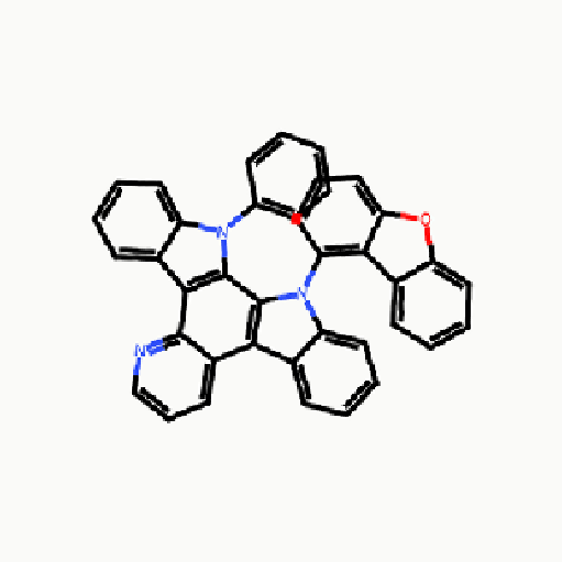 c1ccc(-n2c3ccccc3c3c4ncccc4c4c5ccccc5n(-c5cccc6oc7ccccc7c56)c4c32)cc1